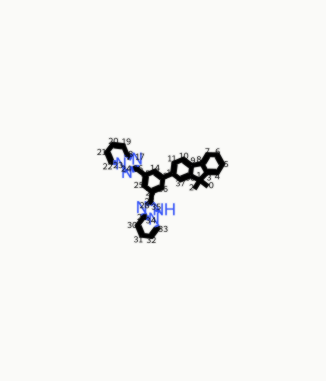 CC1(C)c2ccccc2-c2ccc(-c3cc(-c4nc5ccccn5n4)cc(C4N=C5C=CC=CN5N4)c3)cc21